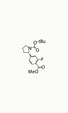 COC(=O)c1ccc([C@H]2CCCN2C(=O)OC(C)(C)C)cc1F